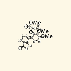 COC(=O)C(Oc1c(-c2cccc3c2CCC3=O)ccc(OC)c1OC)C1CC1